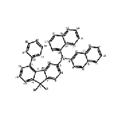 CC1(C)c2ccc(N(c3ccc4ccccc4c3)c3cccc4ccccc34)cc2-c2c(-c3ccccc3)cccc21